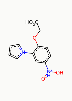 O=C(O)COc1ccc([NH+]([O-])O)cc1-n1cccc1